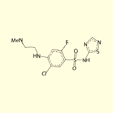 CNCCNc1cc(F)c(S(=O)(=O)Nc2ncns2)cc1Cl